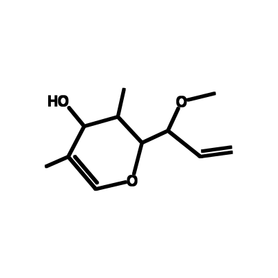 C=CC(OC)C1OC=C(C)C(O)C1C